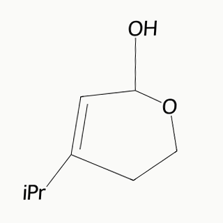 CC(C)C1=CC(O)OCC1